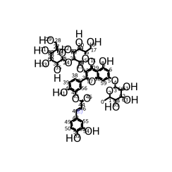 CC1OC(Oc2cc(O)c3c(=O)c(O[C@@H]4OC(CO)[C@@H](O)[C@H](O)C4O[C@@H]4OC(CO)[C@@H](O)[C@H](O)C4O)c(-c4ccc(O)c(OC(=O)/C=C/c5ccc(O)c(O)c5)c4)oc3c2)C(O)C(O)C1O